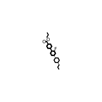 CCCOC(=O)c1ccc(-c2ccc([C@H]3CC[C@H](CCC)CC3)cc2F)cc1